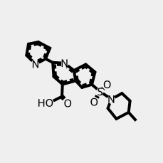 CC1CCN(S(=O)(=O)c2ccc3nc(-c4ccccn4)cc(C(=O)O)c3c2)CC1